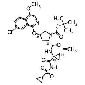 C=C[C@@H]1C[C@]1(NC(=O)[C@@H]1C[C@@H](Oc2ncc(OC)c3ccc(Cl)cc23)CN1C(=O)OC(C)(C)C)C(=O)NS(=O)(=O)C1CC1